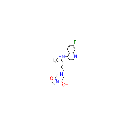 CC(CCCN(CCO)Cc1ncco1)Nc1ccnc2cc(F)ccc12